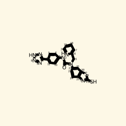 O=C(Nc1ccc(-c2nn[nH]n2)cc1)N(Cc1ccccn1)c1ccc2nc(S)sc2c1